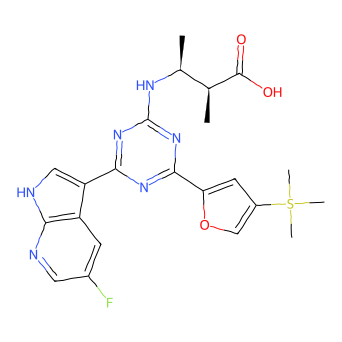 C[C@H](Nc1nc(-c2cc(S(C)(C)C)co2)nc(-c2c[nH]c3ncc(F)cc23)n1)[C@H](C)C(=O)O